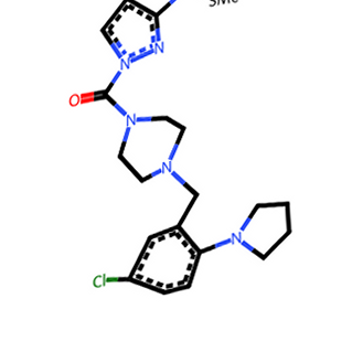 CSNc1ccn(C(=O)N2CCN(Cc3cc(Cl)ccc3N3CCCC3)CC2)n1